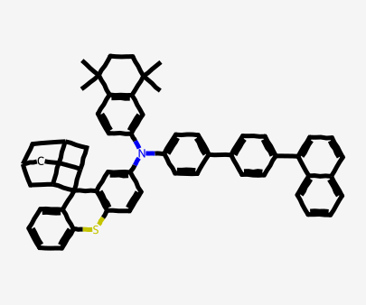 CC1(C)CCC(C)(C)c2cc(N(c3ccc(-c4ccc(-c5cccc6ccccc56)cc4)cc3)c3ccc4c(c3)C3(c5ccccc5S4)C4CC5CC6CC3C64C5)ccc21